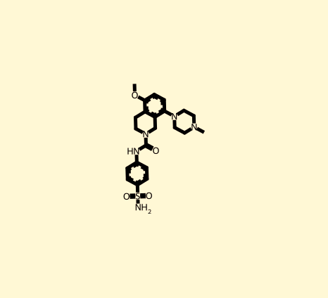 COc1ccc(N2CCN(C)CC2)c2c1CCN(C(=O)Nc1ccc(S(N)(=O)=O)cc1)C2